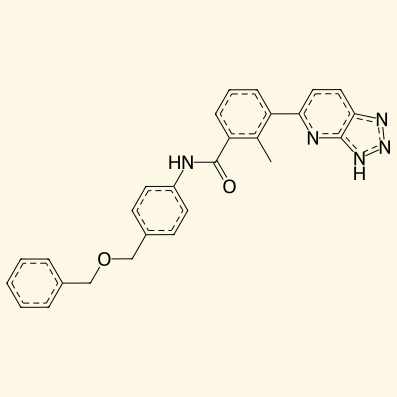 Cc1c(C(=O)Nc2ccc(COCc3ccccc3)cc2)cccc1-c1ccc2nn[nH]c2n1